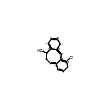 OC1C/C=C2/C=CCC(Cl)=C2/C=C2/CC=CC=C21